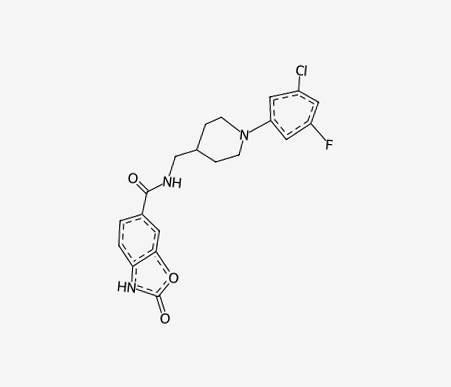 O=C(NCC1CCN(c2cc(F)cc(Cl)c2)CC1)c1ccc2[nH]c(=O)oc2c1